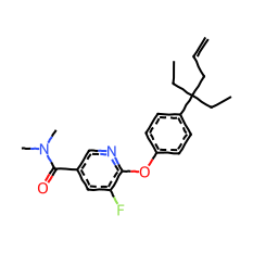 C=CCC(CC)(CC)c1ccc(Oc2ncc(C(=O)N(C)C)cc2F)cc1